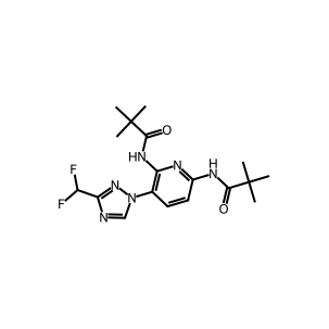 CC(C)(C)C(=O)Nc1ccc(-n2cnc(C(F)F)n2)c(NC(=O)C(C)(C)C)n1